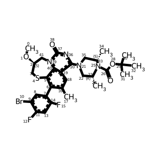 CO[C@@H]1CSc2c(-c3cc(Br)c(F)cc3F)c(C)cc3c(N4C[C@@H](C)N(C(=O)OC(C)(C)C)[C@@H](C)C4)nc(=O)n(c23)C1